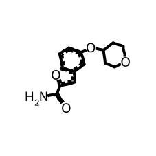 NC(=O)c1cc2cc(OC3CCOCC3)ccc2o1